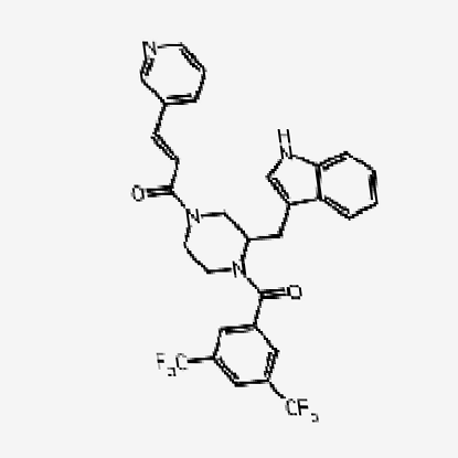 O=C(C=Cc1cccnc1)N1CCN(C(=O)c2cc(C(F)(F)F)cc(C(F)(F)F)c2)[C@H](Cc2c[nH]c3ccccc23)C1